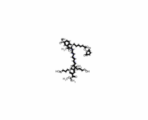 CON(C)C(=O)C1=CN(CCCSO)C2N=C(/C=C/C=C/C=C/C=C3/N(CCCCCC(=O)ON4C(=O)CCC4=O)c4ccc(S(=O)O)cc4C3(C)C)C(C)(CCCSO)C2=C1